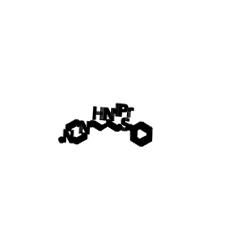 CC(C)N[C@H](CCN1CCN(C)CC1)CSc1ccccc1